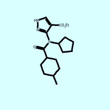 CCOC(=O)c1c[nH]nc1N(C(=O)C1CCC(C)CC1)C1CCCC1